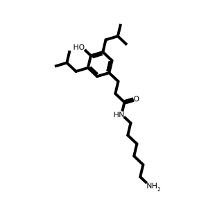 CC(C)Cc1cc(CCC(=O)NCCCCCCN)cc(CC(C)C)c1O